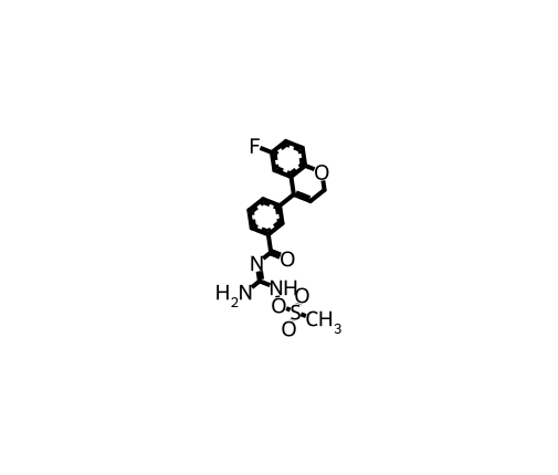 CS(=O)(=O)ONC(N)=NC(=O)c1cccc(C2=CCOc3ccc(F)cc32)c1